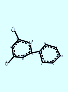 Clc1cc(Cl)nc(-c2ccccc2)c1